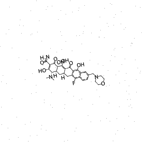 CN(C)[C@@H]1C(O)=C(C(N)=O)C(=O)[C@@]2(O)C(O)=C3C(=O)c4c(c(F)c5ccc(CN6CCOCC6)cc5c4O)C[C@H]3C[C@@H]12